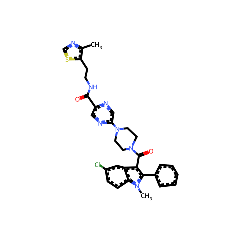 Cc1ncsc1CCNC(=O)c1cnc(N2CCN(C(=O)c3c(-c4ccccc4)n(C)c4ccc(Cl)cc34)CC2)cn1